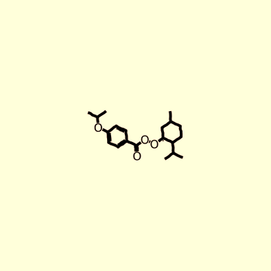 CC1CCC(C(C)C)[C](OOC(=O)c2ccc(OC(C)C)cc2)C1